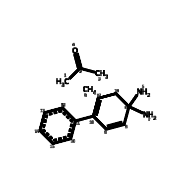 C.CC(C)=O.NC1(N)C=CC(c2ccccc2)=CC1